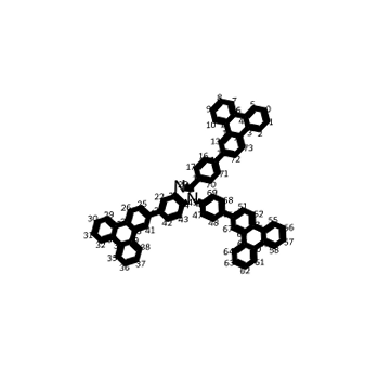 c1ccc2c(c1)c1ccccc1c1cc(-c3ccc(-c4nc5cc(-c6ccc7c8ccccc8c8ccccc8c7c6)ccc5n4-c4ccc(-c5ccc6c7ccccc7c7ccccc7c6c5)cc4)cc3)ccc21